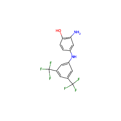 Nc1cc(Nc2cc(C(F)(F)F)cc(C(F)(F)F)c2)ccc1O